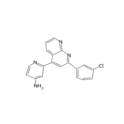 Nc1ccnc(-c2cc(-c3cccc(Cl)c3)nc3ncccc23)c1